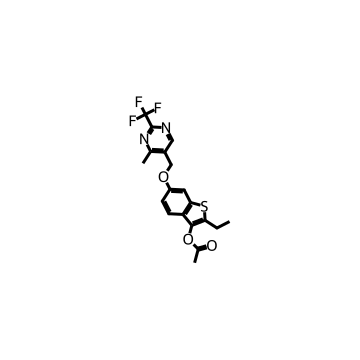 CCc1sc2cc(OCc3cnc(C(F)(F)F)nc3C)ccc2c1OC(C)=O